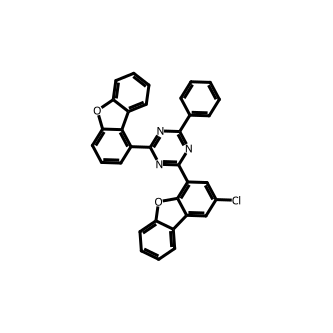 Clc1cc(-c2nc(-c3ccccc3)nc(-c3cccc4oc5ccccc5c34)n2)c2oc3ccccc3c2c1